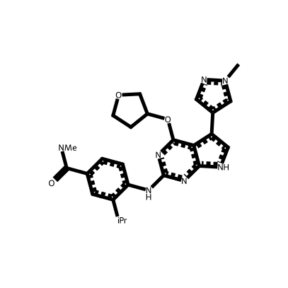 CNC(=O)c1ccc(Nc2nc(OC3CCOC3)c3c(-c4cnn(C)c4)c[nH]c3n2)c(C(C)C)c1